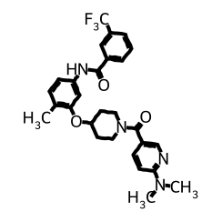 Cc1ccc(NC(=O)c2cccc(C(F)(F)F)c2)cc1OC1CCN(C(=O)c2ccc(N(C)C)nc2)CC1